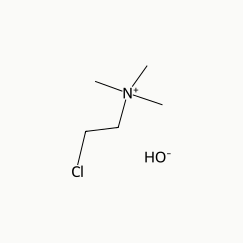 C[N+](C)(C)CCCl.[OH-]